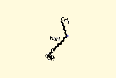 CCCCCCCC/C=C\CCCCCCCCOCCS(=O)(=O)O.[NaH]